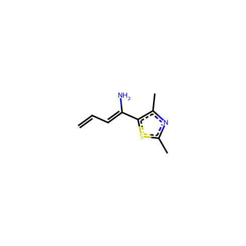 C=C/C=C(\N)c1sc(C)nc1C